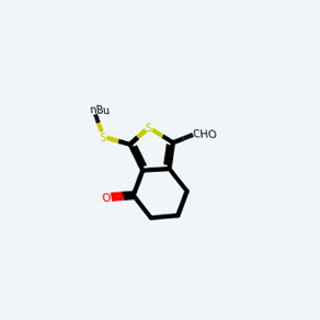 CCCCSc1sc(C=O)c2c1C(=O)CCC2